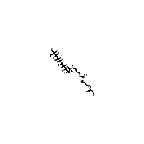 C=CC(=O)OCCNC(=O)OCCCN(C)S(=O)(=O)C(F)(F)C(F)(F)C(F)(F)C(F)(F)C(F)(F)C(F)(F)C(F)(F)C(F)(F)F